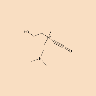 CN(C)C.C[N+](C)(C#P=O)CCO